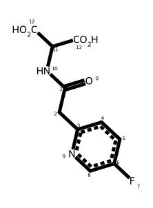 O=C(Cc1ccc(F)cn1)NC(C(=O)O)C(=O)O